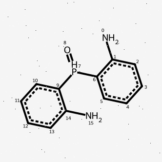 Nc1ccccc1[PH](=O)c1ccccc1N